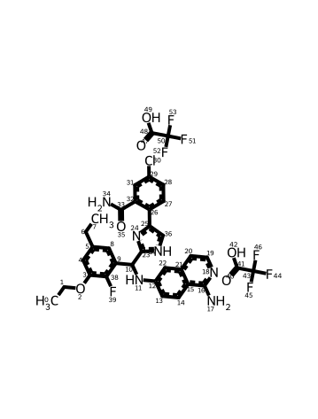 CCOc1cc(CC)cc(C(Nc2ccc3c(N)nccc3c2)c2nc(-c3ccc(Cl)cc3C(N)=O)c[nH]2)c1F.O=C(O)C(F)(F)F.O=C(O)C(F)(F)F